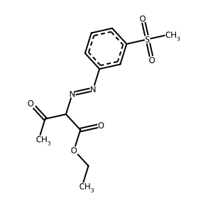 CCOC(=O)C(N=Nc1cccc(S(C)(=O)=O)c1)C(C)=O